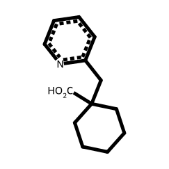 O=C(O)C1(Cc2ccccn2)CCCCC1